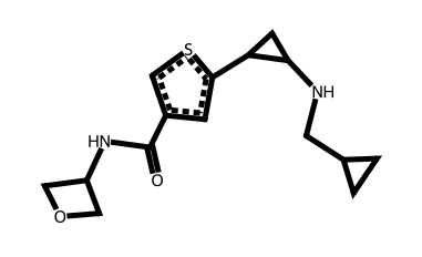 O=C(NC1COC1)c1csc(C2CC2NCC2CC2)c1